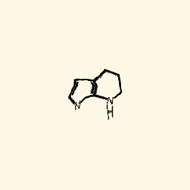 C1=CC2=C([N]1)NCCC2